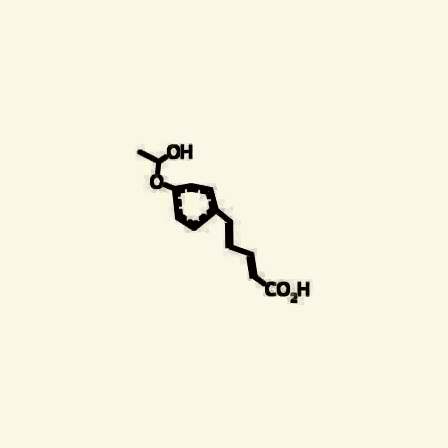 CC(O)Oc1ccc(/C=C/C=C/C(=O)O)cc1